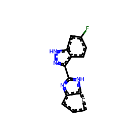 Fc1ccc2c(-c3nc4ccccc4[nH]3)n[nH]c2c1